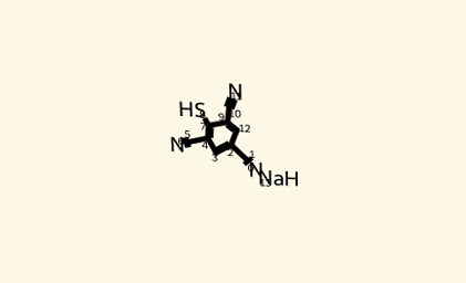 N#Cc1cc(C#N)c(S)c(C#N)c1.[NaH]